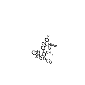 CNC(=O)c1c(-c2ccc(F)cc2)oc2ccc(-c3cc(C(=O)NC4(c5ccccn5)CC4)c(OC4CCOCC4)cc3C)cc12